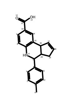 Cc1ccc(C2Nc3ccc(C(=O)O)cc3C3C=CCC32)cc1